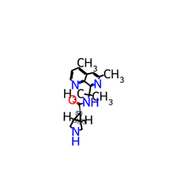 Cc1cc2c(C)ccnc2c(C(C)(C)NC(=O)[C@H]2[C@@H]3CNC[C@@H]32)n1